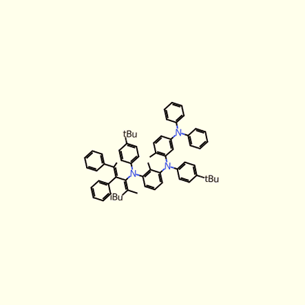 CCC(C)/C(C)=C(\C(=C(/C)c1ccccc1)c1ccccc1)N(c1ccc(C(C)(C)C)cc1)c1cccc(N(c2ccc(C(C)(C)C)cc2)c2cc(N(c3ccccc3)c3ccccc3)ccc2C)c1C